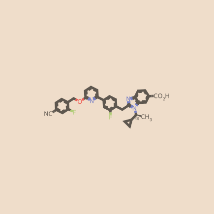 C[C@@H](C1CC1)n1c(Cc2ccc(-c3cccc(OCc4ccc(C#N)cc4F)n3)cc2F)nc2ccc(C(=O)O)cc21